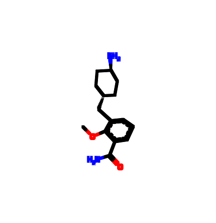 COc1c(C[C@H]2CC[C@H](N)CC2)cccc1C(N)=O